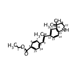 CCOC(=O)c1ccc(C=C(C)c2ccc3c(c2)C(C)(C)CCN3)cc1